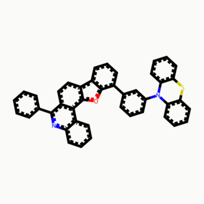 c1ccc(-c2nc3ccccc3c3c2ccc2c4cccc(-c5cccc(N6c7ccccc7Sc7ccccc76)c5)c4oc23)cc1